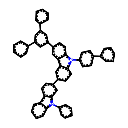 c1ccc(-c2ccc(-n3c4ccc(-c5cc(-c6ccccc6)cc(-c6ccccc6)c5)cc4c4cc(-c5ccc6c7ccccc7n(-c7ccccc7)c6c5)ccc43)cc2)cc1